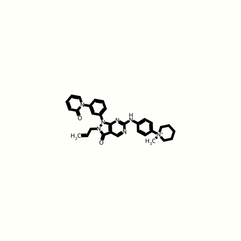 C=CCn1c(=O)c2cnc(Nc3ccc([N+]4(C)CCCCC4)cc3)nc2n1-c1cccc(-n2ccccc2=O)c1